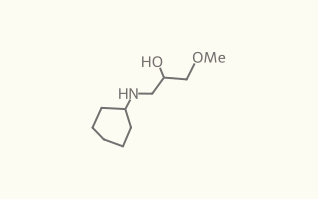 COCC(O)CNC1CCCCC1